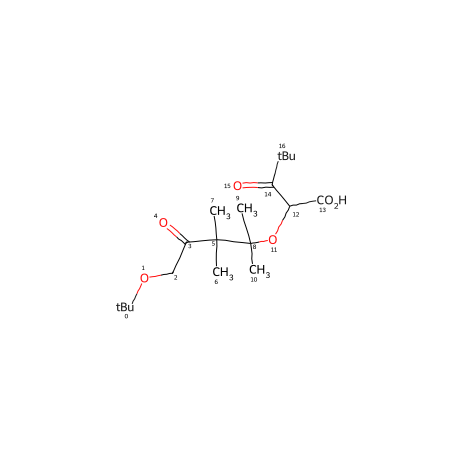 CC(C)(C)OCC(=O)C(C)(C)C(C)(C)OC(C(=O)O)C(=O)C(C)(C)C